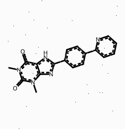 Cn1c(=O)c2[nH]c(-c3ccc(-c4ccccn4)cc3)nc2n(C)c1=O